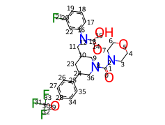 O=C(N1CCOCC1)N1CC(CN(C(=O)O)c2cccc(F)c2)CC(c2ccc(OC(F)(F)F)cc2)C1